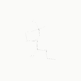 CC[N]C(=O)N(CC)CC(Cl)(Cl)Cl